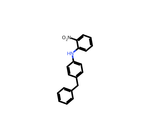 O=[N+]([O-])c1ccccc1Nc1ccc(Cc2ccccc2)cc1